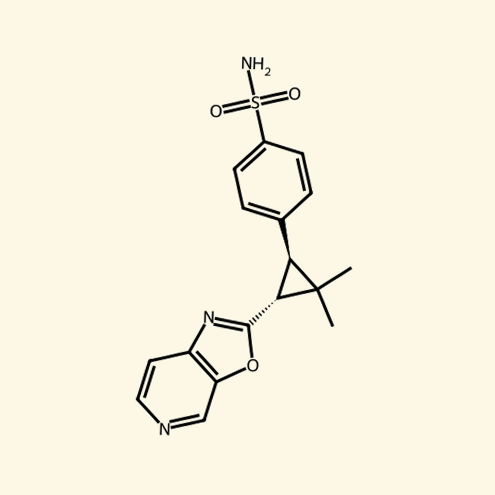 CC1(C)[C@H](c2ccc(S(N)(=O)=O)cc2)[C@H]1c1nc2ccncc2o1